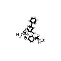 CCNC(=O)N1CCC[C@H](NS(C)(=O)=O)[C@@H]1Cc1ccnc(-c2ccccc2)c1